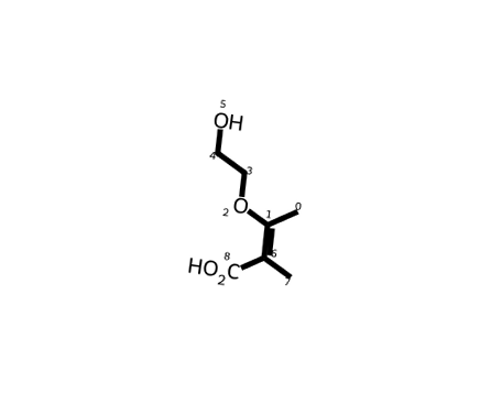 CC(OCCO)=C(C)C(=O)O